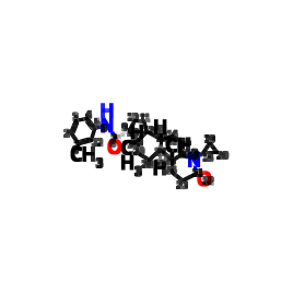 Cc1cccc(NC(=O)[C@@H]2CC[C@H]3[C@@H]4CC=C5N(C6CC6)C(=O)CC[C@]5(C)[C@H]4CC[C@]23C)c1